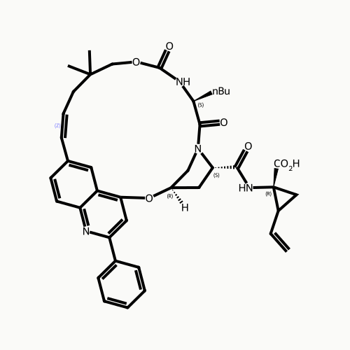 C=CC1C[C@]1(NC(=O)[C@@H]1C[C@@H]2CN1C(=O)[C@H](CCCC)NC(=O)OCC(C)(C)C/C=C\c1ccc3nc(-c4ccccc4)cc(c3c1)O2)C(=O)O